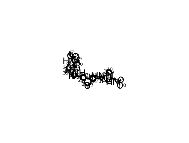 COC(=O)NCC(=O)N1CCC[C@H]1c1ncc(-c2ccc3c(c2)COCc2cc(-c4cnc([C@@H]5[C@@H](C)C[C@@H](C)N5C(=O)[C@@H](NC(=O)OC)C(C)C)[nH]4)ccc2-3)[nH]1